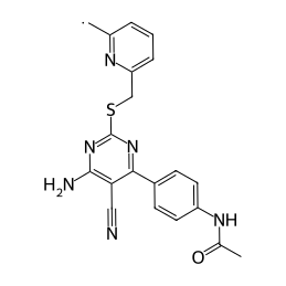 [CH2]c1cccc(CSc2nc(N)c(C#N)c(-c3ccc(NC(C)=O)cc3)n2)n1